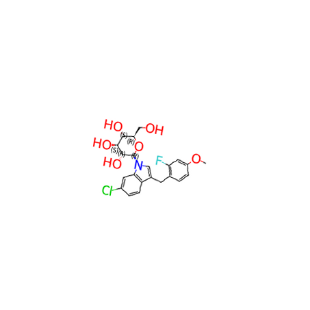 COc1ccc(Cc2cn([C@@H]3O[C@H](CO)[C@@H](O)[C@H](O)[C@H]3O)c3cc(Cl)ccc23)c(F)c1